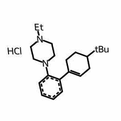 CCN1CCN(c2ccccc2C2=CCC(C(C)(C)C)CC2)CC1.Cl